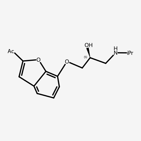 CC(=O)c1cc2cccc(OC[C@@H](O)CNC(C)C)c2o1